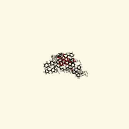 Cc1ccc(-c2ccccc2)cc1N(c1cc(C(C)C)c2ccc3c(N(c4cc(-c5ccccc5)ccc4C)c4c(C)ccc5c4oc4ccccc45)cc(C(C)CCC(C)c4cc(N(c5ccccc5)c5c(C)ccc6c5oc5c(C(C)(C)C)cccc56)c5ccc6c(C(C)C)cc(N(c7ccccc7)c7c(C)ccc8c7oc7c(C(C)(C)C)cccc78)c7ccc4c5c67)c4ccc1c2c43)c1c(C)ccc2c1oc1ccccc12